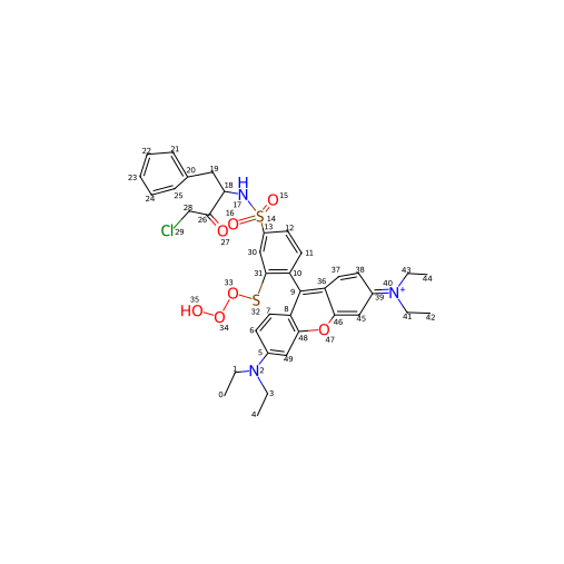 CCN(CC)c1ccc2c(-c3ccc(S(=O)(=O)NC(Cc4ccccc4)C(=O)CCl)cc3SOOO)c3ccc(=[N+](CC)CC)cc-3oc2c1